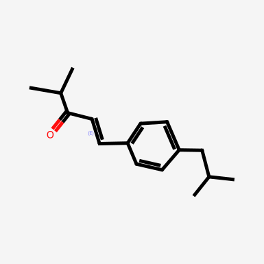 CC(C)Cc1ccc(/C=C/C(=O)C(C)C)cc1